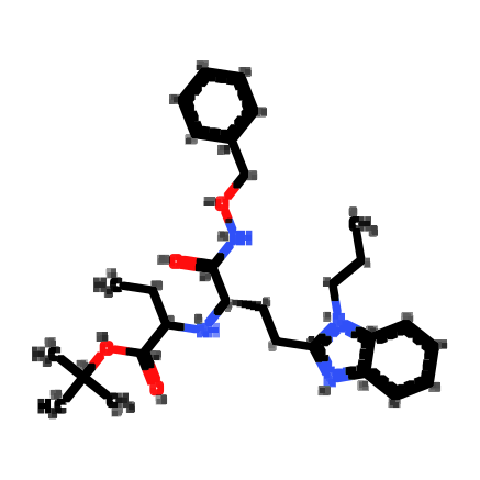 CCCn1c(CC[C@H](NC(CC)C(=O)OC(C)(C)C)C(=O)NOCc2ccccc2)nc2ccccc21